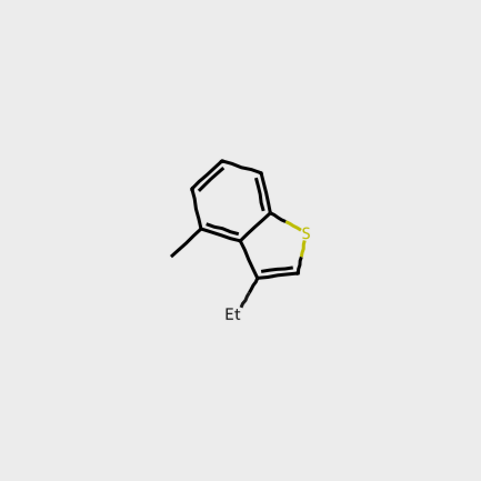 CCc1csc2cccc(C)c12